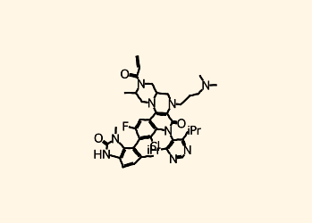 C=CC(=O)N1CC2CN(CCCN(C)C)c3c(c4cc(F)c(-c5c(C)ccc6[nH]c(=O)n(C)c56)c(Cl)c4n(-c4c(C(C)C)ncnc4C(C)C)c3=O)N2CC1C